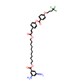 Nc1cc(N)cc(C(=O)OCCCCCCCCCCCOC(=O)C=Cc2ccc(OC(=O)c3ccc(OCCCC(F)(F)F)cc3)cc2)c1